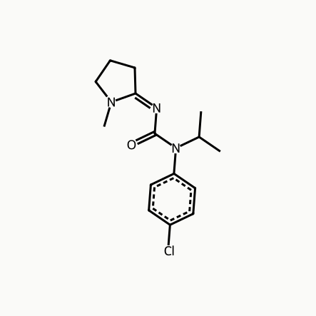 CC(C)N(C(=O)/N=C1/CCCN1C)c1ccc(Cl)cc1